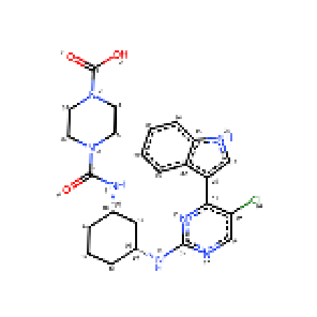 O=C(O)N1CCN(C(=O)N[C@H]2CCC[C@@H](Nc3ncc(Cl)c(-c4c[nH]c5ccccc45)n3)C2)CC1